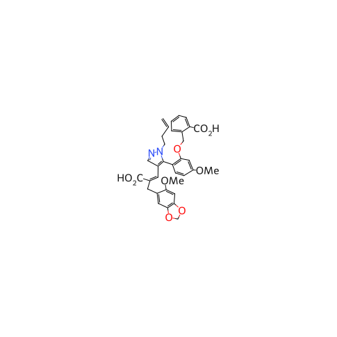 C=CCCn1ncc(C=C(Cc2cc3c(cc2OC)OCO3)C(=O)O)c1-c1ccc(OC)cc1OCc1ccccc1C(=O)O